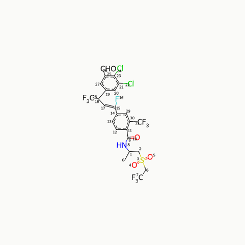 CC(CS(=O)(=O)CC(F)(F)F)NC(=O)c1ccc(/C(F)=C/C(c2cc(Cl)c(Cl)c(C=O)c2)C(F)(F)F)cc1C(F)(F)F